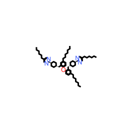 CCCCCCCc1ccc(Oc2ccc(CCCCCCC)cc2C[C@H]2CC[C@H](c3ncc(CCCCCC)cn3)CC2)c(C[C@H]2CC[C@H](c3ncc(CCCCCC)cn3)CC2)c1